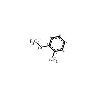 FC(F)(F)Sc1ccc[c]c1C(F)(F)F